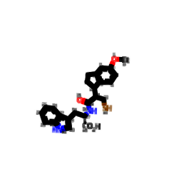 CCOc1ccc2c(c1)CCC2C(CS)C(=O)N[C@@H](Cc1c[nH]c2ccccc12)C(=O)O